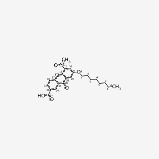 CCCCCCCCOc1cc([S+](C)[O-])c2oc3ccc(C(=O)O)cc3c(=O)c2c1